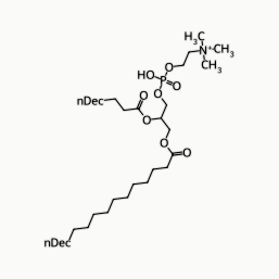 CCCCCCCCCCCCCCCCCCCCC(=O)OCC(COP(=O)(O)OCC[N+](C)(C)C)OC(=O)CCCCCCCCCCCC